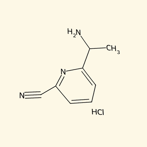 CC(N)c1cccc(C#N)n1.Cl